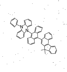 CC1(C)c2ccccc2-c2c1cc(-c1c3ccccc3c(N3c4ccccc4N(c4ccccc4)c4ccccc43)c3ccccc13)c1ccccc21